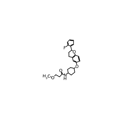 COCCC(=O)NC1CCC(Oc2ccc3c(c2)CCC(c2ccccc2F)O3)CC1